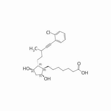 CC(C#Cc1ccccc1Cl)CC[C@@H]1[C@@H](CCCCCCC(=O)O)[C@@H](O)C[C@H]1O